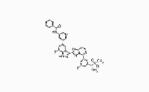 CS(=O)(=O)C(N)c1cc(F)cc(-c2nccc3[nH]c(-c4n[nH]c5c(F)cc(-c6cncc(NC(=O)c7ccccc7)c6)cc45)nc23)c1